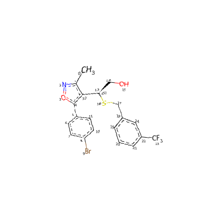 Cc1noc(-c2ccc(Br)cc2)c1[C@@H](CO)SCc1cccc(C(F)(F)F)c1